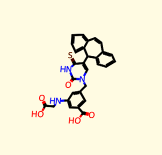 O=C(O)CNc1cc(Cn2cc(C3c4ccccc4C=Cc4ccccc43)c(=S)[nH]c2=O)cc(C(=O)O)c1